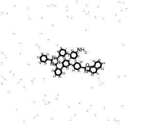 Nc1cccc(-c2cccc(-c3nc(-c4ccccc4)nc(-c4ccccc4-c4cccc(-c5ccc(-c6nc7ccc8ccccc8c7o6)cc5)c4)n3)c2)c1